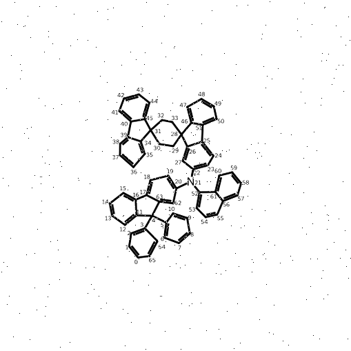 c1ccc(C2(c3ccccc3)c3ccccc3-c3ccc(N(c4ccc5c(c4)C4(CCC6(CC4)c4ccccc4-c4ccccc46)c4ccccc4-5)c4cccc5ccccc45)cc32)cc1